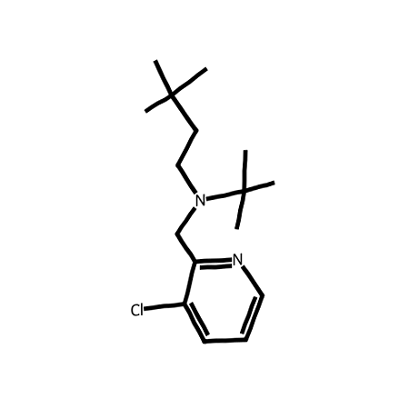 CC(C)(C)CCN(Cc1ncccc1Cl)C(C)(C)C